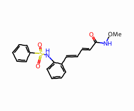 CONC(=O)C=C/C=C/c1ccccc1NS(=O)(=O)c1ccccc1